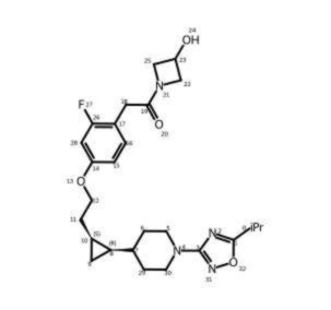 CC(C)c1nc(N2CCC([C@H]3C[C@H]3CCOc3ccc(CC(=O)N4CC(O)C4)c(F)c3)CC2)no1